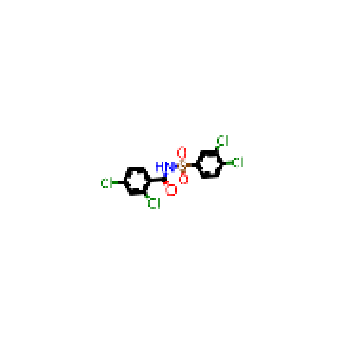 O=C(NS(=O)(=O)c1ccc(Cl)c(Cl)c1)c1ccc(Cl)cc1Cl